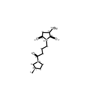 C[C@@H]1CCN(C(=O)CCCN2C(=O)CC(C(C)(C)C)C2=O)C1